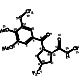 COc1cc(C(=O)N2C[C@H](C(F)(F)F)C[C@@H]2C(=O)NO)cc(SC(F)(F)F)c1OC